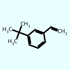 C=[C]c1cccc(C(C)(C)C)c1